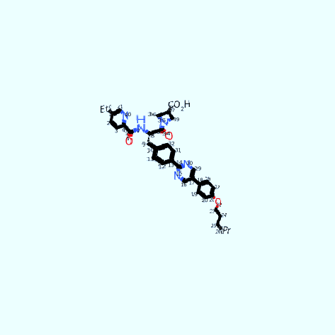 CCc1ccc(C(=O)N[C@@H](Cc2ccc(-c3ncc(-c4ccc(OCCCC(C)C)cc4)cn3)cc2)C(=O)N2CC(C(=O)O)C2)nc1